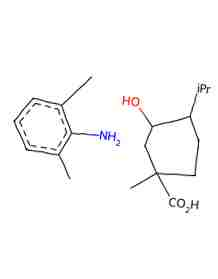 CC(C)C1CCC(C)(C(=O)O)CC1O.Cc1cccc(C)c1N